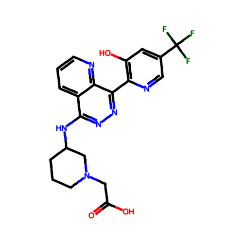 O=C(O)CN1CCCC(Nc2nnc(-c3ncc(C(F)(F)F)cc3O)c3ncccc23)C1